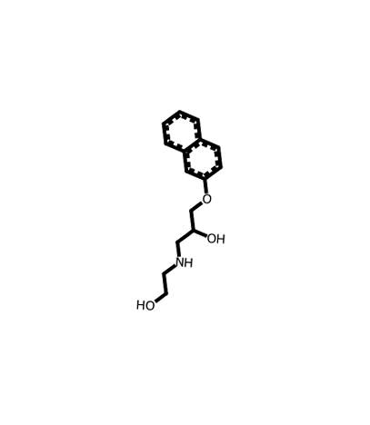 OCCNCC(O)COc1ccc2ccccc2c1